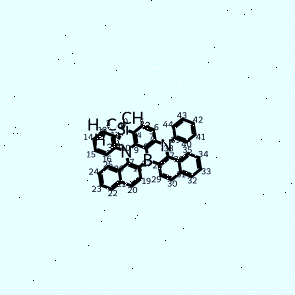 C[Si](C)(C)c1ccc2c3c1N(c1ccccc1)c1c(ccc4ccccc14)B3c1ccc3ccccc3c1N2c1ccccc1